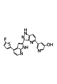 Oc1cncc(-c2ccc3[nH]nc(-c4cc5c(-c6ccc(F)s6)ccnc5[nH]4)c3n2)c1